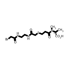 C[C@@H](C(=O)O)N(C)C(=O)CCSCC(=O)NCCNC(=O)CBr